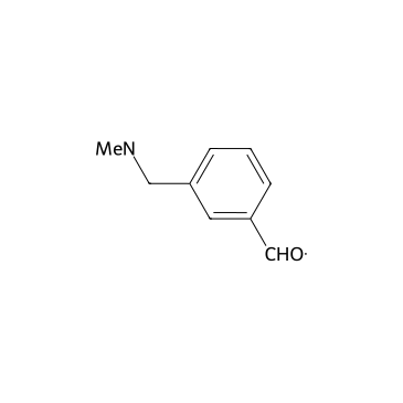 CNCc1cccc([C]=O)c1